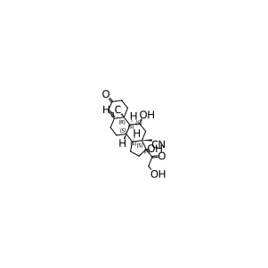 C[C@]12CCC(=O)C=C1CC[C@@H]1[C@@H]2[C@@H](O)C[C@@]2(CC#N)[C@H]1CC[C@]2(O)C(=O)CO